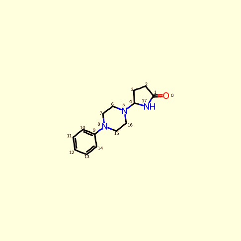 O=C1CCC(N2CCN(c3ccccc3)CC2)N1